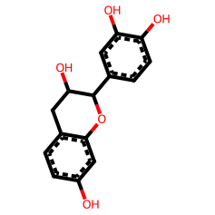 Oc1ccc2c(c1)OC(c1ccc(O)c(O)c1)C(O)C2